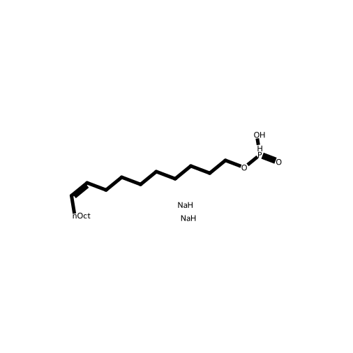 CCCCCCCC/C=C\CCCCCCCCO[PH](=O)O.[NaH].[NaH]